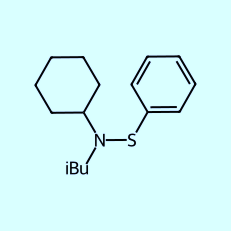 CCC(C)N(Sc1ccccc1)C1CCCCC1